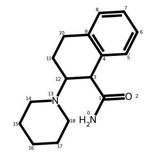 NC(=O)C1c2[c]cccc2CCC1N1CCCCC1